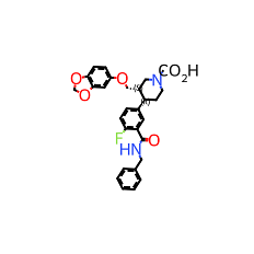 O=C(NCc1ccccc1)c1cc([C@@H]2CCN(C(=O)O)C[C@H]2COc2ccc3c(c2)OCO3)ccc1F